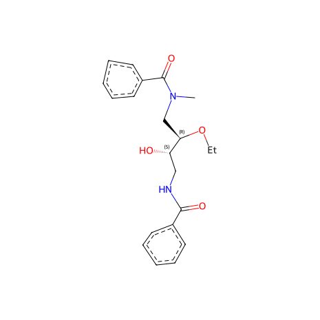 CCO[C@H](CN(C)C(=O)c1ccccc1)[C@@H](O)CNC(=O)c1ccccc1